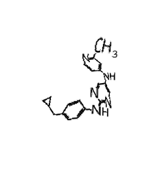 Cc1cc(Nc2cnc(Nc3ccc(CC4CC4)cc3)nc2)ccn1